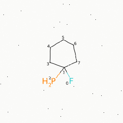 FC1(P)CCCCC1